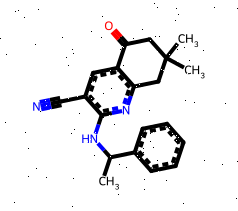 CC(Nc1nc2c(cc1C#N)C(=O)CC(C)(C)C2)c1ccccc1